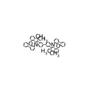 CC1(C)c2ccccc2-c2c1c1cc(-c3ccc4c(c3)c3c(n4-c4cccc5c4oc4ccccc45)-c4ccccc4C3(C)C)ccc1n2-c1cccc2c1oc1ccccc12